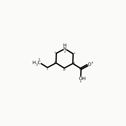 CCC1CNCC(C(=O)O)C1